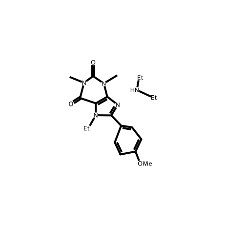 CCNCC.CCn1c(-c2ccc(OC)cc2)nc2c1c(=O)n(C)c(=O)n2C